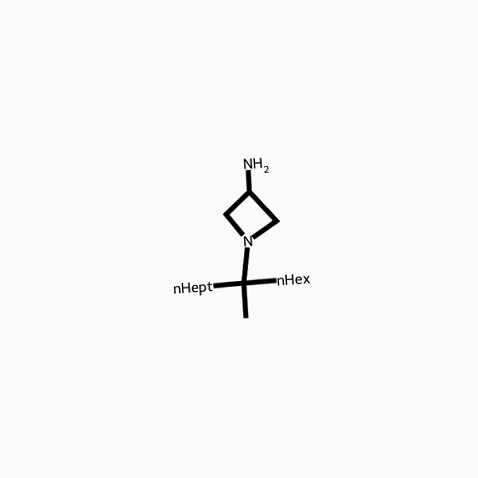 CCCCCCCC(C)(CCCCCC)N1CC(N)C1